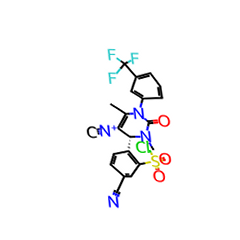 [C-]#[N+]C1=C(C)N(c2cccc(C(F)(F)F)c2)C(=O)N(C)[C@@H]1c1ccc(C#N)cc1S(=O)(=O)Cl